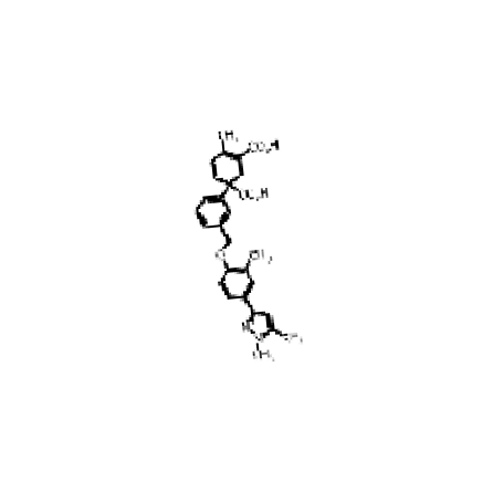 CC1=C(C(=O)O)CC(C(=O)O)(c2cccc(COc3ccc(-c4cc(C(F)(F)F)n(C)n4)cc3C)c2)C=C1